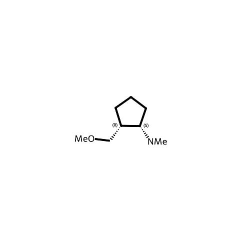 CN[C@H]1CCC[C@H]1COC